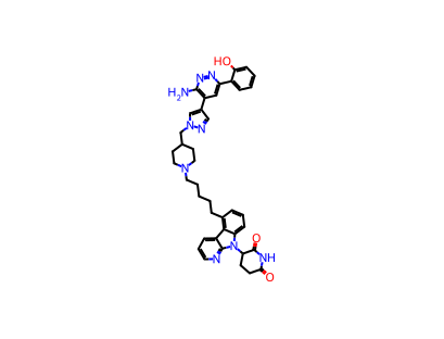 Nc1nnc(-c2ccccc2O)cc1-c1cnn(CC2CCN(CCCCCc3cccc4c3c3cccnc3n4C3CCC(=O)NC3=O)CC2)c1